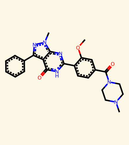 COc1cc(C(=O)N2CCN(C)CC2)ccc1-c1nc2c(c(-c3ccccc3)nn2C)c(=O)[nH]1